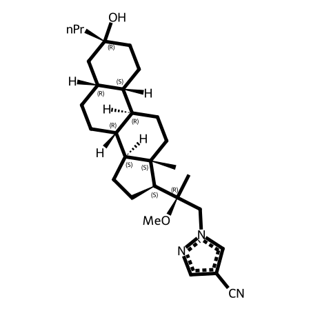 CCC[C@@]1(O)CC[C@H]2[C@H](CC[C@@H]3[C@@H]2CC[C@@]2(C)[C@H]3CC[C@@H]2[C@](C)(Cn2cc(C#N)cn2)OC)C1